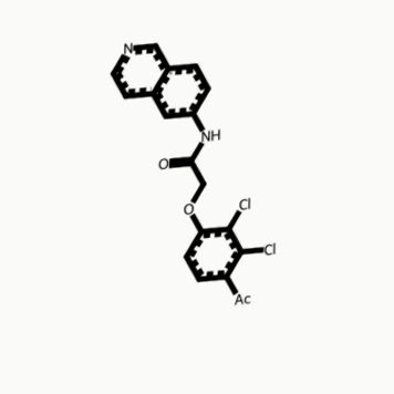 CC(=O)c1ccc(OCC(=O)Nc2ccc3cnccc3c2)c(Cl)c1Cl